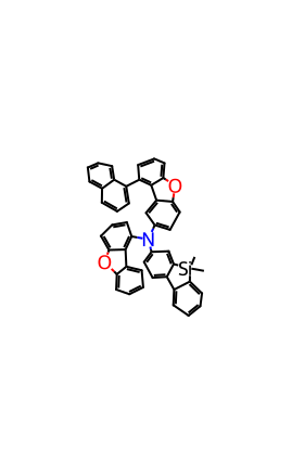 C[Si]1(C)c2ccccc2-c2ccc(N(c3ccc4oc5cccc(-c6cccc7ccccc67)c5c4c3)c3cccc4oc5ccccc5c34)cc21